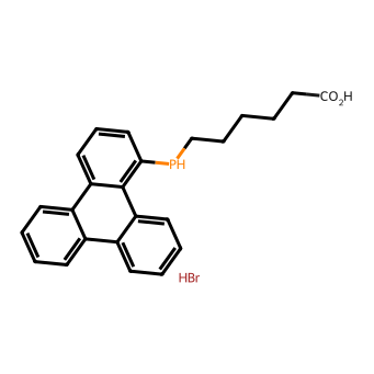 Br.O=C(O)CCCCCPc1cccc2c3ccccc3c3ccccc3c12